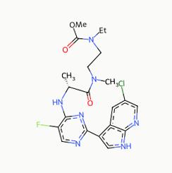 CCN(CCN(C)C(=O)[C@@H](C)Nc1nc(-c2c[nH]c3ncc(Cl)cc23)ncc1F)C(=O)OC